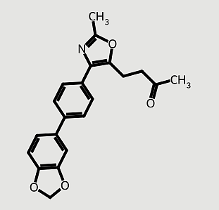 CC(=O)CCc1oc(C)nc1-c1ccc(-c2ccc3c(c2)OCO3)cc1